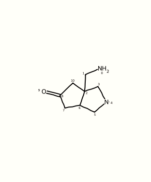 NCC12C[N]CC1CC(=O)C2